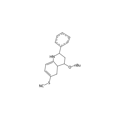 CCCCOC1CC(c2ccccc2)NC2=CC=C(SC#N)CC21